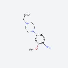 CC(C)Oc1cc(N2CCN(CC=O)CC2)ccc1N